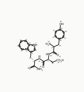 NC(=O)[C@H](Cc1c[nH]c2ccccc12)NC(=O)[C@H](CC(=O)O)NC(=O)C(N)Cc1ccc(O)cc1